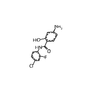 Nc1ccc(C(=O)Nc2ccc(Cl)cc2F)c(O)c1